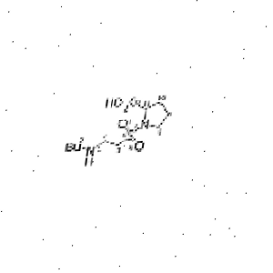 CCC(C)NCCS(=O)(=O)N1CCCC1C(=O)O